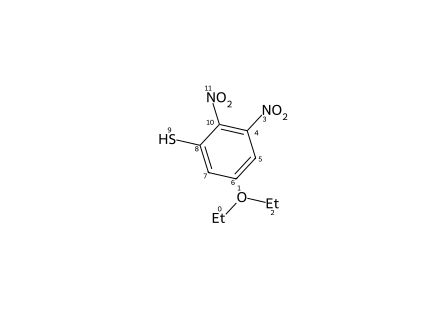 CCOCC.O=[N+]([O-])c1cccc(S)c1[N+](=O)[O-]